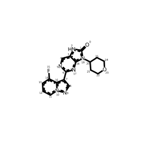 O=c1[nH]c2cnc(-c3cnn4cccc(F)c34)nc2n1C1CCOCC1